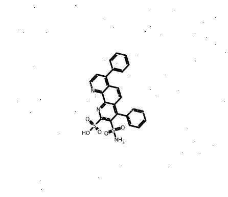 NS(=O)(=O)c1c(S(=O)(=O)O)nc2c(ccc3c(-c4ccccc4)ccnc32)c1-c1ccccc1